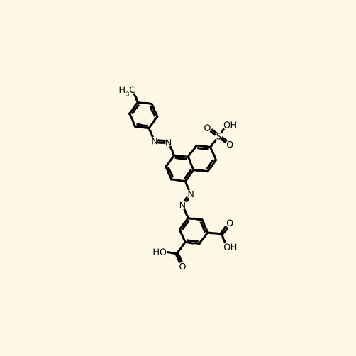 Cc1ccc(N=Nc2ccc(N=Nc3cc(C(=O)O)cc(C(=O)O)c3)c3ccc(S(=O)(=O)O)cc23)cc1